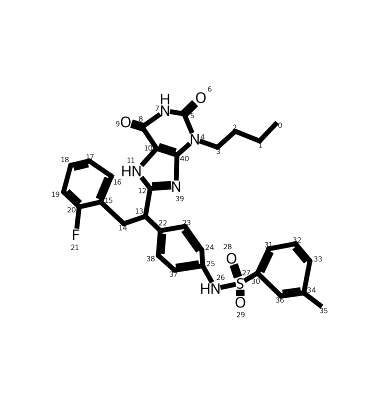 CCCCn1c(=O)[nH]c(=O)c2[nH]c(C(Cc3ccccc3F)c3ccc(NS(=O)(=O)c4cccc(C)c4)cc3)nc21